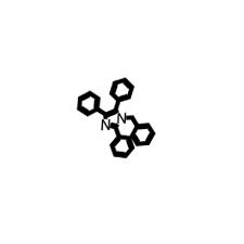 c1ccc(Cn2c(-c3ccccc3)nc(-c3ccccc3)c2-c2ccccc2)cc1